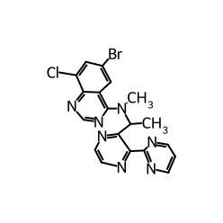 CC(c1nccnc1-c1ncccn1)N(C)c1ncnc2c(Cl)cc(Br)cc12